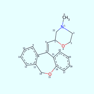 CN1CCOC(C=C2c3ccccc3COc3ccccc32)C1